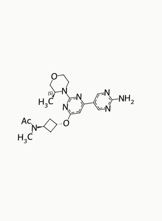 CC(=O)N(C)[C@H]1C[C@H](Oc2cc(-c3cnc(N)nc3)nc(N3CCOC[C@@H]3C)n2)C1